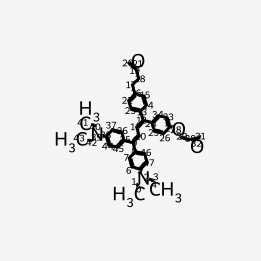 CCN(CC)c1ccc(C(=CC=C(c2ccc(CCC3CO3)cc2)c2ccc(OCC3CO3)cc2)c2ccc(N(CC)CC)cc2)cc1